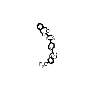 O=C(Cn1cc(C(F)(F)F)ccc1=O)N1CCC(c2nc(C3OCc4ccccc4CO3)cs2)CC1